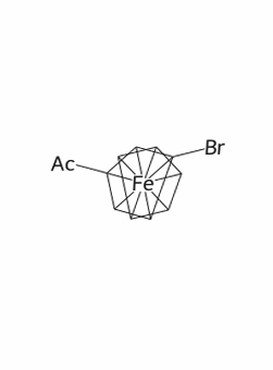 CC(=O)[C]12[CH]3[CH]4[C]5(Br)[CH]1[Fe]43521678[CH]2[CH]1[CH]6[CH]7[CH]28